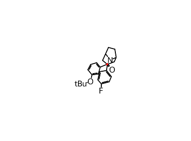 CC(C)(C)Oc1cccc(C(=O)N2C3CCC2CC(c2ccc(F)cc2)C3)c1